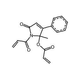 C=CC(=O)OC1(C)C(c2ccccc2)=CC(=O)N1C(=O)C=C